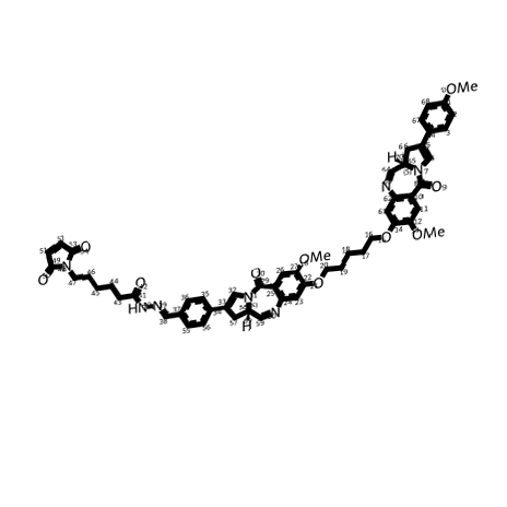 COc1ccc(C2=CN3C(=O)c4cc(OC)c(OCCCCCOc5cc6c(cc5OC)C(=O)N5C=C(c7ccc(C=NNC(=O)CCCCCN8C(=O)C=CC8=O)cc7)C[C@H]5C=N6)cc4N=C[C@@H]3C2)cc1